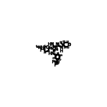 CNC[C@H]1CC[C@@H](N2C(=N)C3(N=C2Nc2cccc(C(F)(F)F)c2)N=C3NC2(C)CCOCC2)CC1